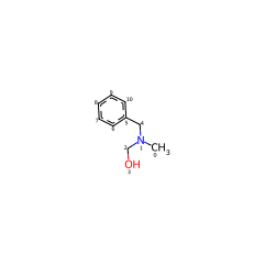 CN(CO)Cc1ccccc1